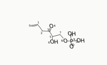 C=CCC(=O)C(O)COP(=O)(O)O